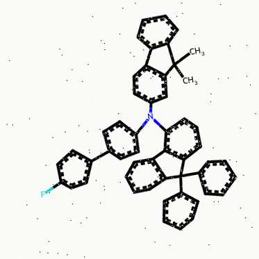 CC1(C)c2ccccc2-c2ccc(N(c3ccc(-c4ccc(F)cc4)cc3)c3cccc4c3-c3ccccc3C4(c3ccccc3)c3ccccc3)cc21